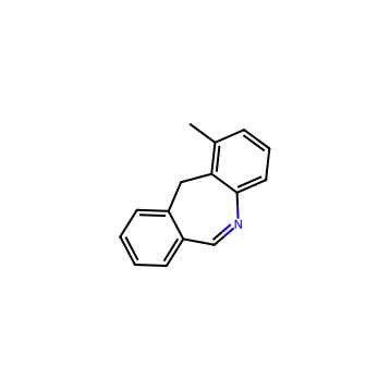 Cc1cccc2c1Cc1ccccc1C=N2